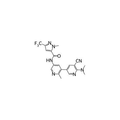 Cc1ncc(NC(=O)c2cc(C(F)(F)F)nn2C)cc1-c1cnc(N(C)C)c(C#N)c1